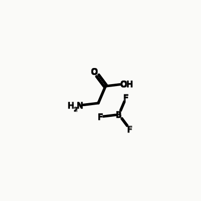 FB(F)F.NCC(=O)O